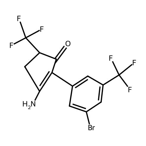 NC1=C(c2cc(Br)cc(C(F)(F)F)c2)C(=O)C(C(F)(F)F)C1